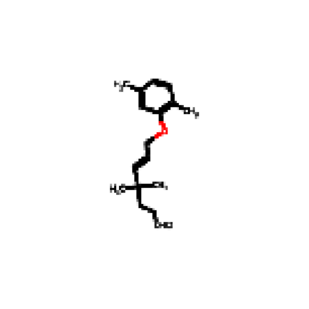 Cc1ccc(C)c(OCC=CC(C)(C)CCC=O)c1